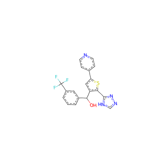 OC(c1cccc(C(F)(F)F)c1)c1cc(-c2ccncc2)sc1-c1nnc[nH]1